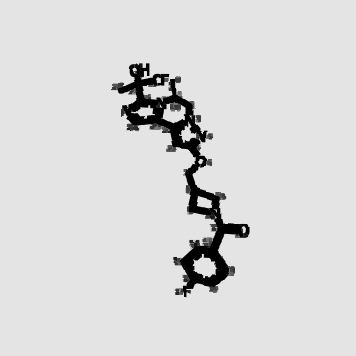 C[C@H]1Cn2nc(OCC3CN(C(=O)c4ccc(F)cc4)C3)cc2-c2cnc(C(C)(O)C(F)(F)F)n21